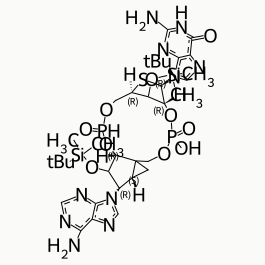 CC(C)(C)[Si](C)(C)OC1[C@H]2OP(=O)(O)OCC34C[C@@H]3[C@@H](n3cnc5c(N)ncnc53)C(O[Si](C)(C)C(C)(C)C)[C@@H]4O[PH](=O)OC[C@H]1S[C@H]2n1cnc2c(=O)[nH]c(N)nc21